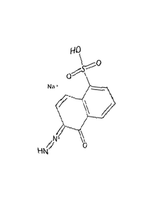 N=[N+]=C1C=Cc2c(cccc2S(=O)(=O)O)C1=O.[Na+]